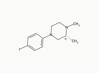 C[C@@H]1CN(c2ccc(I)cc2)CCN1C